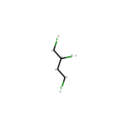 F[CH]C(F)CCF